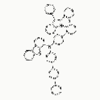 c1ccc(-c2ccc(-c3ccc(N(c4ccc(-c5cccc6c7ccccc7c7c(-c8ccccc8)c8ccccc8n7c56)cc4)c4cccc5c4sc4ccccc45)cc3)cc2)cc1